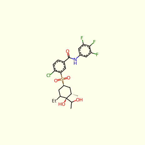 CCC1C[C@@H](S(=O)(=O)c2cc(C(=O)Nc3cc(F)c(F)c(F)c3)ccc2Cl)C[C@H](C)[C@]1(O)C(C)O